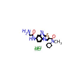 CN(C(=O)c1cn2c(nc3cc(NC(=O)CN)ccc32)s1)C1CCCCC1.Cl.Cl